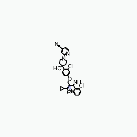 N#Cc1ccnc(N2CCC(O)(c3ccc(OC/C(C(=N)c4c(Cl)cccc4Cl)=C(/O)C4CC4)cc3Cl)CC2)c1